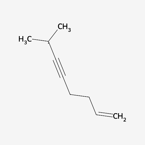 C=CCCC#C[C](C)C